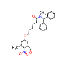 Cc1cc(OCCCCCC(=O)N(C)C(c2ccccc2)c2ccccc2)cc(C=O)c1[N+](=O)[O-]